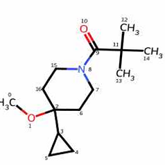 COC1(C2CC2)CCN(C(=O)C(C)(C)C)CC1